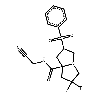 N#CCNC(=O)C12CC(S(=O)(=O)c3ccccc3)CN1CC(F)(F)C2